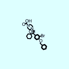 O=C(O)N1CCN(CC(c2ccc(OCc3ccccc3)c(Br)c2)C2(O)CCCCC2)CC1